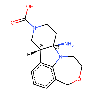 N[C@]12CCN(C(=O)O)C[C@H]1c1cccc3c1N2CCOC3